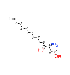 CCCCCCCCCCCCC(O)C(N)CCO